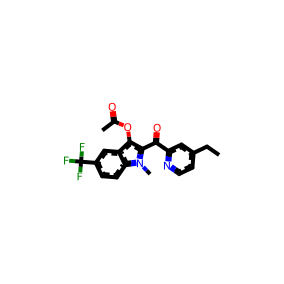 CCc1ccnc(C(=O)c2c(OC(C)=O)c3cc(C(F)(F)F)ccc3n2C)c1